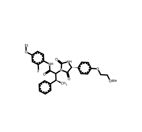 CCOc1ccc(NC(=O)C([C@@H](C)c2ccccc2)N2C(=O)N[C@H](c3ccc(OCCOC)cc3)C2=O)c(F)c1